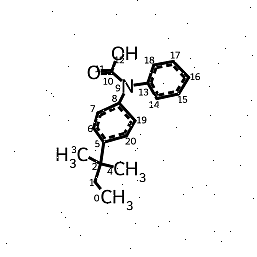 CCC(C)(C)c1ccc(N(C(=O)O)c2ccccc2)cc1